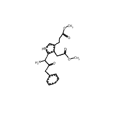 COC(=O)CCc1c[nH]c(C(N)C(=O)Cc2ccccc2)c1CC(=O)OC